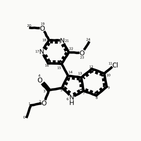 CCOC(=O)c1[nH]c2ccc(Cl)cc2c1-c1cnc(OC)nc1OC